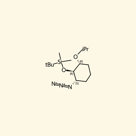 CC(C)O[C@@H]1CCC[C@H](N=[N+]=[N-])[C@H]1O[Si](C)(C)C(C)(C)C